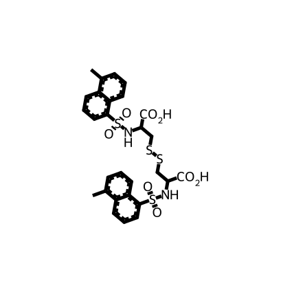 Cc1cccc2c(S(=O)(=O)NC(CSSCC(NS(=O)(=O)c3cccc4c(C)cccc34)C(=O)O)C(=O)O)cccc12